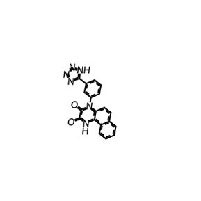 O=c1[nH]c2c3ccccc3ccc2n(-c2cccc(-c3nnn[nH]3)c2)c1=O